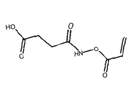 C=CC(=O)ONC(=O)CCC(=O)O